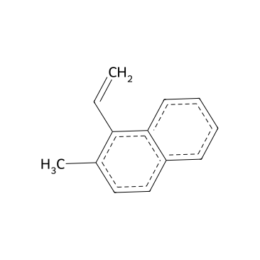 C=Cc1c(C)ccc2ccccc12